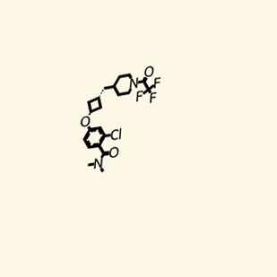 CN(C)C(=O)c1ccc(O[C@H]2C[C@@H](CC3CCN(C(=O)C(F)(F)F)CC3)C2)cc1Cl